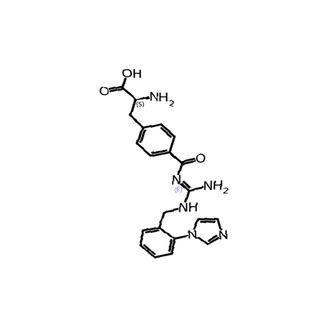 N/C(=N\C(=O)c1ccc(C[C@H](N)C(=O)O)cc1)NCc1ccccc1-n1ccnc1